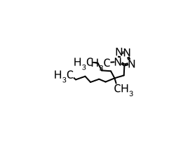 CCCCCCC(C)(CCCC)Cc1nnnn1C